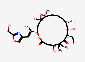 CC[C@H]1C(=O)C(C)(C)[C@@H](O)CC(=O)O[C@H](C(C)=Cc2coc(CO)n2)C[C@@H]2O[C@]2(C)CCC[C@H](C)[C@@H]1O